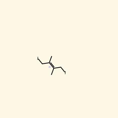 C/C(CI)=C(/C)CI